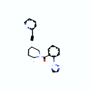 C[C@@H]1CC[C@H](C#Cc2ccccn2)CN1C(=O)c1ccccc1-n1nccn1